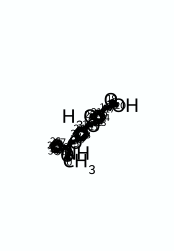 CONC(COc1ccc(COC2=CC=C(CCC(=O)O)CC2C)cc1)c1ccccc1